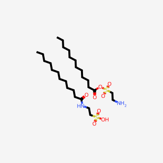 CCCCCCCCCCCC(=O)NCCS(=O)(=O)O.CCCCCCCCCCCC(=O)OS(=O)(=O)CCN